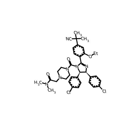 CCOc1cc(C(C)(C)C#N)ccc1C1=N[C@@H](c2ccc(Cl)cc2)[C@@H](c2ccc(Cl)cc2)N1C(=O)N1CCN(CC(=O)N(C)C)CC1